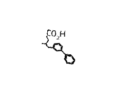 CC(CCC(=O)O)Cc1cccc(-c2ccccc2)c1